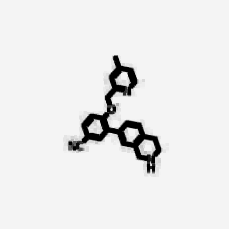 Cc1ccnc(COc2ccc(C#N)cc2-c2ccc3c(c2)CNCC3)c1